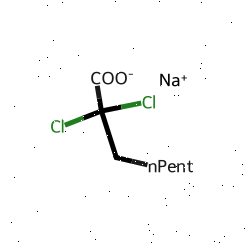 CCCCCCC(Cl)(Cl)C(=O)[O-].[Na+]